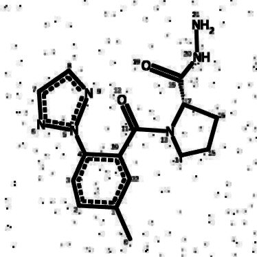 Cc1ccc(-n2nccn2)c(C(=O)N2CCC[C@H]2C(=O)NN)c1